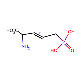 NC(/C=C/CP(=O)(O)O)C(=O)O